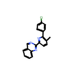 Cc1ccc(-c2ncc3ccccc3n2)nc1-c1ccc(Cl)cc1